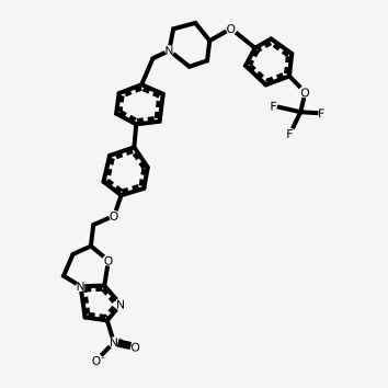 O=[N+]([O-])c1cn2c(n1)OC(COc1ccc(-c3ccc(CN4CCC(Oc5ccc(OC(F)(F)F)cc5)CC4)cc3)cc1)CC2